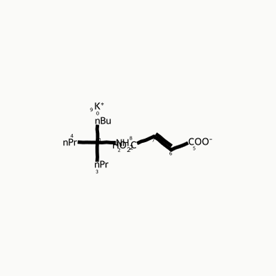 CCCCC(N)(CCC)CCC.O=C([O-])C=CC(=O)O.[K+]